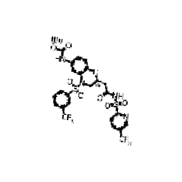 CC(C)(C)OC(=O)Nc1ccc2c(c1)N(S(=O)(=O)c1cccc(C(F)(F)F)c1)C[C@H](CC(=O)NS(=O)(=O)c1ccc(C(F)(F)F)cn1)O2